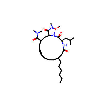 CCCCCCC1CCC/C=C\CC(C(=O)N(C)C)CC(C(=O)N(C)OC)NC(=O)[C@@H](CC(C)C)NC(=O)C1